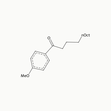 CCCCCCCCCCCC(=O)c1ccc(OC)cc1